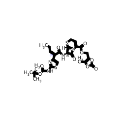 CC/C=C(\C(=O)N[C@@H]1C(=O)N2C(C(=O)OCc3oc(=O)oc3C)=CCS[C@@H]12)c1csc(NC(=O)OC(C)(C)C)n1